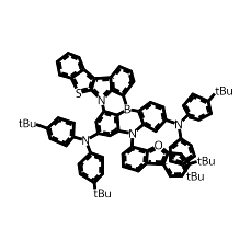 CC(C)(C)c1ccc(N(c2ccc(C(C)(C)C)cc2)c2ccc3c(c2)N(c2cccc4c2oc2cc(C(C)(C)C)ccc24)c2cc(N(c4ccc(C(C)(C)C)cc4)c4ccc(C(C)(C)C)cc4)cc4c2B3c2cccc3c5c6ccccc6sc5n-4c23)cc1